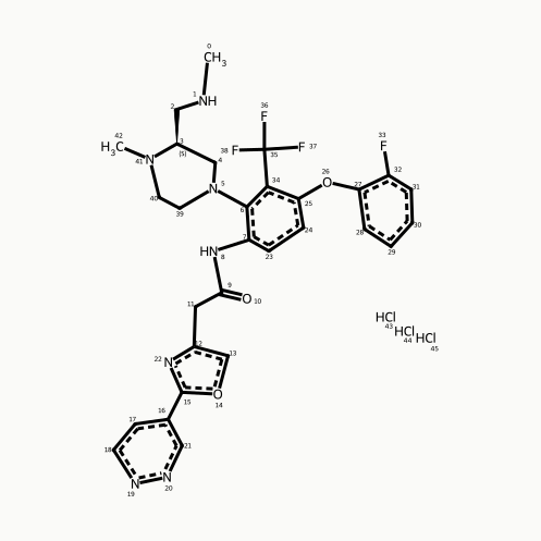 CNC[C@H]1CN(c2c(NC(=O)Cc3coc(-c4ccnnc4)n3)ccc(Oc3ccccc3F)c2C(F)(F)F)CCN1C.Cl.Cl.Cl